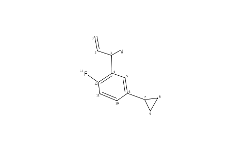 [CH2]C(C=C)c1cc(C2CC2)ccc1F